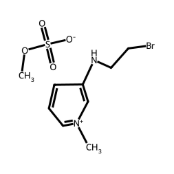 COS(=O)(=O)[O-].C[n+]1cccc(NCCBr)c1